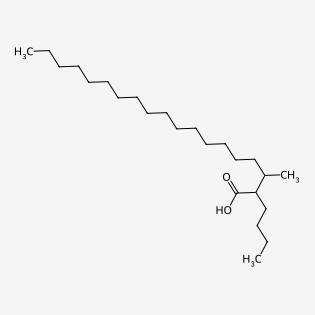 CCCCCCCCCCCCCCCCC(C)C(CCCC)C(=O)O